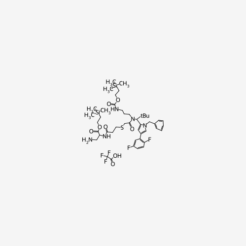 CC(C)(C)C(c1cc(-c2cc(F)ccc2F)cn1Cc1ccccc1)N(CCCNC(=O)OCC[Si](C)(C)C)C(=O)CSCCC(=O)NC(CN)C(=O)OCC[Si](C)(C)C.O=C(O)C(F)(F)F